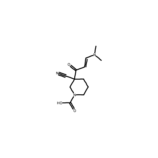 CN(C)C=CC(=O)C1(C#N)CCCN(C(=O)O)C1